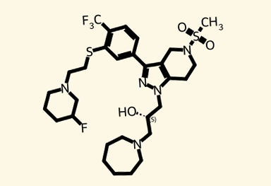 CS(=O)(=O)N1CCc2c(c(-c3ccc(C(F)(F)F)c(SCCN4CCCC(F)C4)c3)nn2C[C@@H](O)CN2CCCCCC2)C1